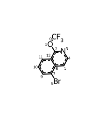 FC(F)(F)Oc1nccc2c(Br)cccc12